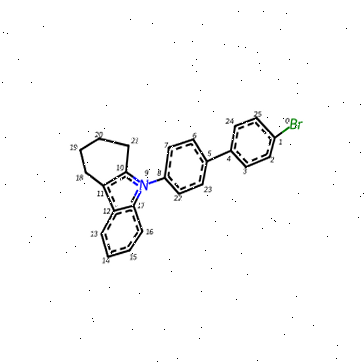 Brc1ccc(-c2ccc(-n3c4c(c5ccccc53)CCCC4)cc2)cc1